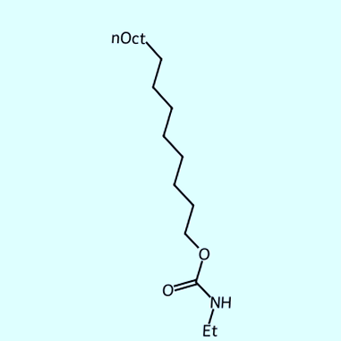 CCCCCCCCCCCCCCCCOC(=O)NCC